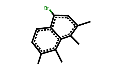 Cc1ccc2c(Br)cc(C)c(C)c2c1C